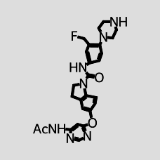 CC(=O)Nc1cc(Oc2ccc3c(c2)CCN3C(=O)Nc2ccc(N3CCNCC3)c(CF)c2)ncn1